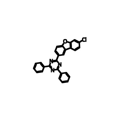 Clc1ccc2c(c1)oc1ccc(-c3nc(-c4ccccc4)nc(-c4ccccc4)n3)cc12